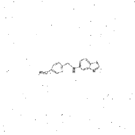 COc1ccc(CNc2ccc3scnc3c2)cc1